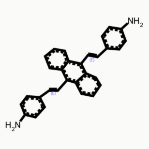 Nc1ccc(/C=C/c2c3ccccc3c(/C=C/c3ccc(N)cc3)c3ccccc23)cc1